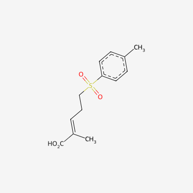 CC(=CCCS(=O)(=O)c1ccc(C)cc1)C(=O)O